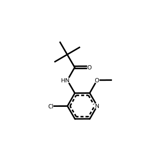 COc1nccc(Cl)c1NC(=O)C(C)(C)C